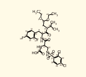 CCOC(CN(C(=O)C(Cc1ccc(F)cc1F)NC(=O)C(CNS(=O)(=O)c1ccc(Cl)cc1Cl)NC(=O)O)C(C)C)OCC